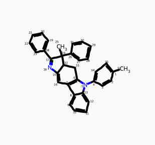 Cc1ccc(-n2c3c(c4ccccc42)C=C2N=C(c4ccccc4)C(C)(c4ccccc4)C2C3)cc1